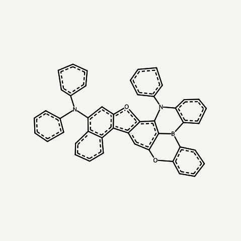 c1ccc(N(c2ccccc2)c2cc3oc4c5c6c(cc4c3c3ccccc23)Oc2ccccc2B6c2ccccc2N5c2ccccc2)cc1